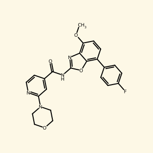 COc1ccc(-c2ccc(F)cc2)c2oc(NC(=O)c3ccnc(N4CCOCC4)c3)nc12